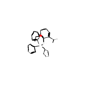 CCc1cccc(C(C)C)c1NP(=C1C=CC=C1)(c1ccccc1)c1ccccc1